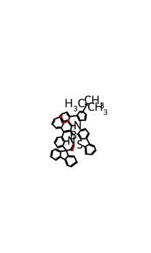 CC(C)(C)c1ccc(N2c3cc4ccccc4c4c3B(c3c2ccc2c3sc3ccccc32)N2c3ccccc3C3(c5ccccc5-c5ccccc53)c3cccc-4c32)c(-c2ccccc2)c1